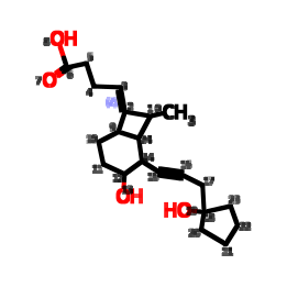 CC1/C(=C/CCC(=O)O)C2CCC(O)C(C#CCC3(O)CCCC3)C12